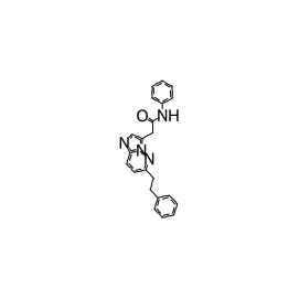 O=C(Cc1cnc2ccc(CCc3ccccc3)nn12)Nc1ccccc1